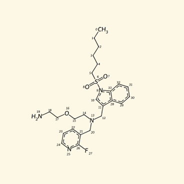 CCCCCCS(=O)(=O)n1cc(CN(CCOCCN)Cc2cccnc2F)c2ccccc21